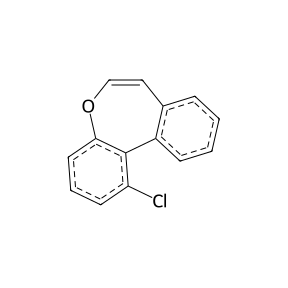 Clc1cccc2c1-c1ccccc1C=CO2